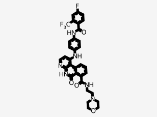 O=C(Nc1ccc(Nc2ccnc3[nH]c(=O)c4c(C(=O)NCCN5CCOCC5)cccc4c23)cc1)c1ccc(F)cc1C(F)(F)F